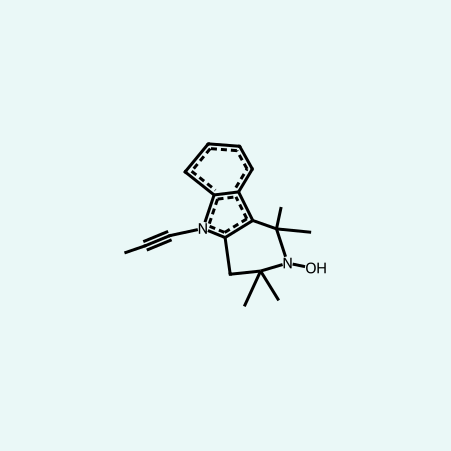 CC#Cn1c2c(c3ccccc31)C(C)(C)N(O)C(C)(C)C2